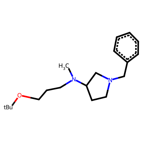 CN(CCCOC(C)(C)C)C1CCN(Cc2ccccc2)C1